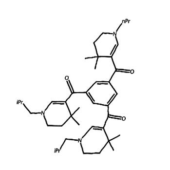 CCCN1C=C(C(=O)c2cc(C(=O)C3=CN(CC(C)C)CCC3(C)C)cc(C(=O)C3=CN(CC(C)C)CCC3(C)C)c2)C(C)(C)CC1